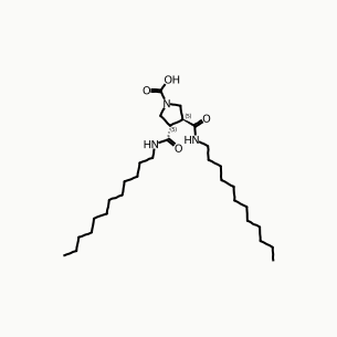 CCCCCCCCCCCCNC(=O)[C@@H]1CN(C(=O)O)C[C@H]1C(=O)NCCCCCCCCCCCC